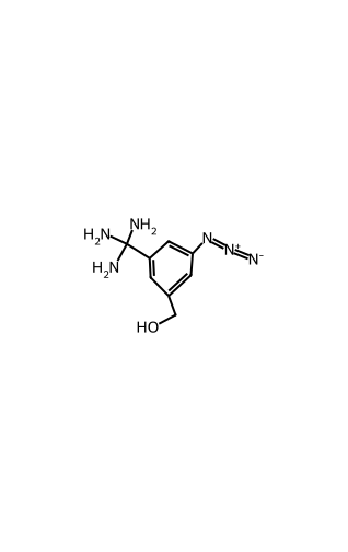 [N-]=[N+]=Nc1cc(CO)cc(C(N)(N)N)c1